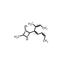 C\C=C/C=C(\C(C)=C/C)C1BC(C)N1C(C)C